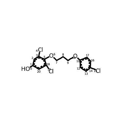 Oc1cc(Cl)c(OCCCOc2ccc(Cl)cc2)c(Cl)c1